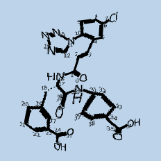 O=C(/C=C/c1cc(Cl)ccc1-n1cnnn1)N[C@@H](Cc1cccc(C(=O)O)c1)C(=O)Nc1ccc(C(=O)O)cc1